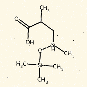 CC(C[SiH](C)O[Si](C)(C)C)C(=O)O